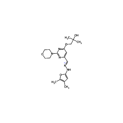 Cc1cc(N/N=C/c2cc(OCC(C)(C)O)nc(N3CCOCC3)n2)oc1C